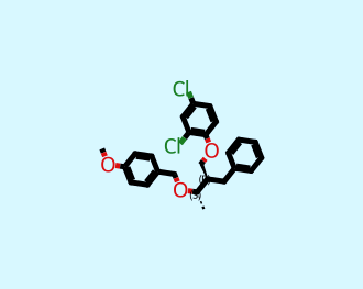 COc1ccc(CO[C@@H](C)[C@@H](COc2ccc(Cl)cc2Cl)Cc2ccccc2)cc1